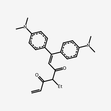 C=CC(=O)C(CC)C(=O)C=C(c1ccc(N(C)C)cc1)c1ccc(N(C)C)cc1